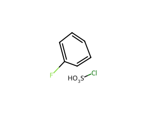 Fc1ccccc1.O=S(=O)(O)Cl